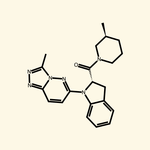 Cc1nnc2ccc(N3c4ccccc4C[C@H]3C(=O)N3CCC[C@H](C)C3)nn12